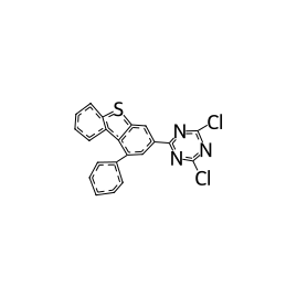 Clc1nc(Cl)nc(-c2cc(-c3ccccc3)c3c(c2)sc2ccccc23)n1